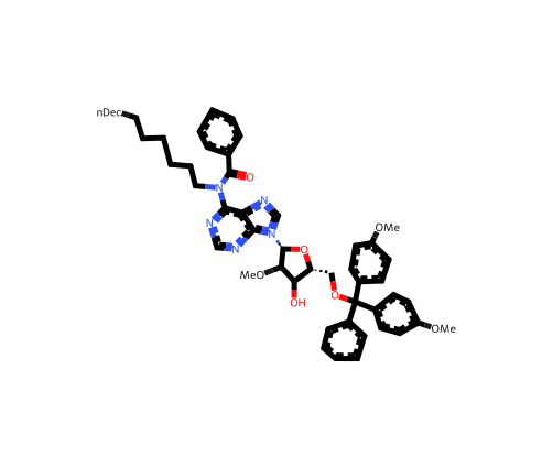 CCCCCCCCCCCCCCCCN(C(=O)c1ccccc1)c1ncnc2c1ncn2[C@@H]1O[C@H](COC(c2ccccc2)(c2ccc(OC)cc2)c2ccc(OC)cc2)C(O)C1OC